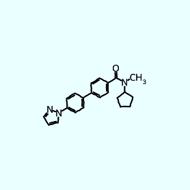 CN(C(=O)c1ccc(-c2ccc(-n3cccn3)cc2)cc1)C1CCCC1